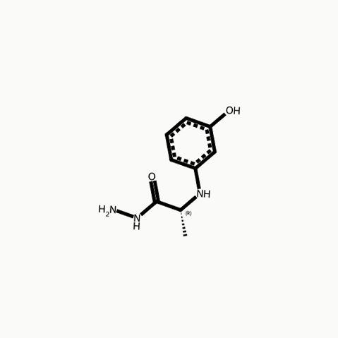 C[C@@H](Nc1cccc(O)c1)C(=O)NN